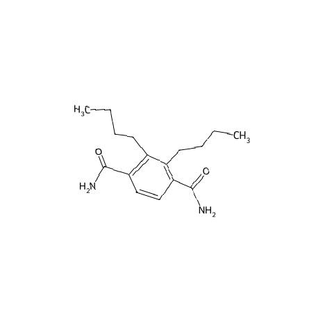 CCCCc1c(C(N)=O)ccc(C(N)=O)c1CCCC